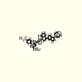 Cc1ccc(-n2nc(C(C)(C)C)cc2NC(=O)Nc2ccc(-c3ccc4c(c3)CCC4N3CCOCC3)c3ccccc23)cc1